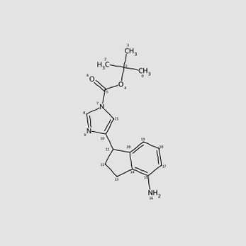 CC(C)(C)OC(=O)n1cnc(C2CCc3c(N)cccc32)c1